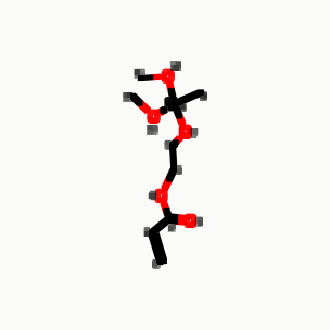 C=CC(=O)OCCO[Si](C)(OC)OC